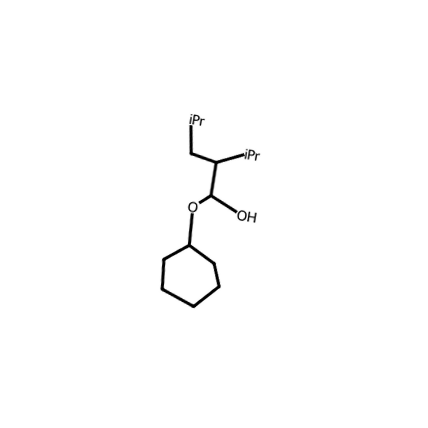 CC(C)CC(C(C)C)C(O)OC1CCCCC1